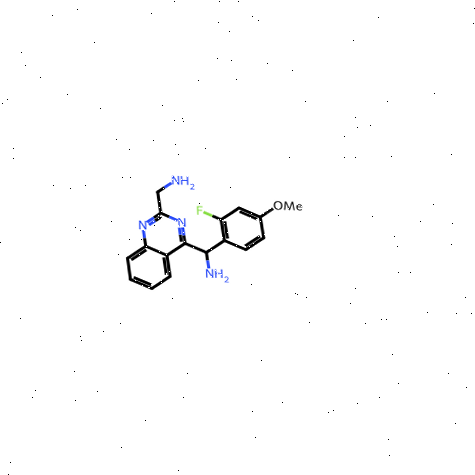 COc1ccc(C(N)c2nc(CN)nc3ccccc23)c(F)c1